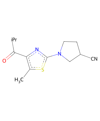 Cc1sc(N2CCC(C#N)C2)nc1C(=O)C(C)C